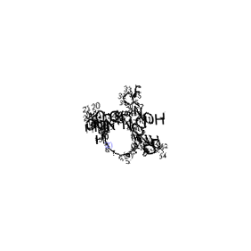 CC[C@@H]1C[C@H](C)CC/C=C\[C@@H]2C[C@@]2(C(=O)NS(=O)(=O)C2(C)CC2)NC(=O)[C@@H]2C[C@@H](C3c4cccc(F)c4CN3C(=O)O)CN2C(=O)[C@H]1NC(=O)OC(C)(C)C